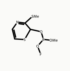 COB(OF)OC1SC=CN=C1SC